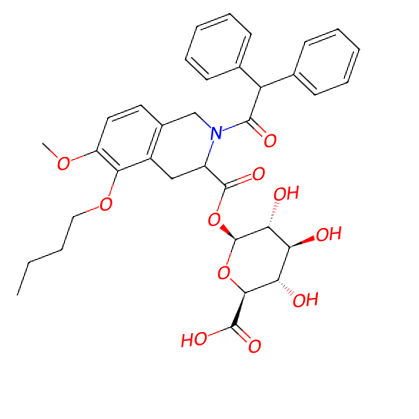 CCCCOc1c(OC)ccc2c1CC(C(=O)O[C@@H]1O[C@H](C(=O)O)[C@@H](O)[C@H](O)[C@H]1O)N(C(=O)C(c1ccccc1)c1ccccc1)C2